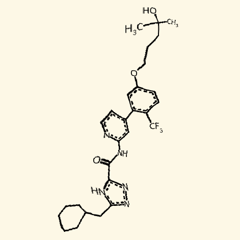 CC(C)(O)CCCOc1ccc(C(F)(F)F)c(-c2ccnc(NC(=O)c3nnc(CC4CCCCC4)[nH]3)c2)c1